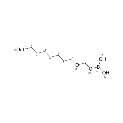 CCCCCCCCCCCCCCCOCOB(O)O